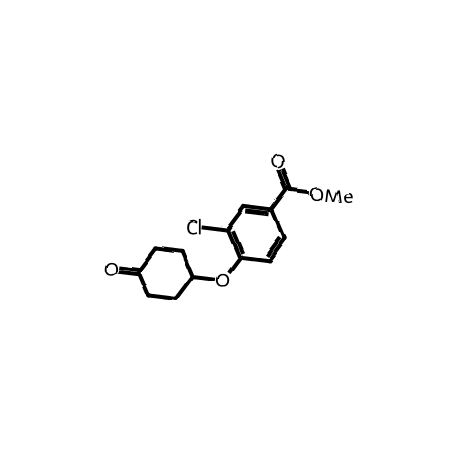 COC(=O)c1ccc(OC2CCC(=O)CC2)c(Cl)c1